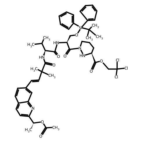 CC(=O)O[C@H](C)c1ccc2ccc(C=CC(C)(C)C(=O)N[C@H](C(=O)N[C@@H](CO[Si](c3ccccc3)(c3ccccc3)C(C)(C)C)C(=O)N3CCC[C@@H](C(=O)OCC(Cl)(Cl)Cl)N3)C(C)C)cc2n1